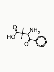 CC(C)(C(=O)O)C(N)C(=O)c1ccccc1